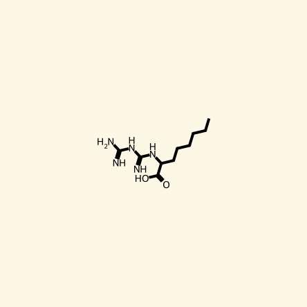 CCCCCCC(NC(=N)NC(=N)N)C(=O)O